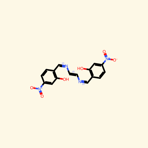 O=[N+]([O-])c1ccc(\C=N/C=C/N=C\c2ccc([N+](=O)[O-])cc2O)c(O)c1